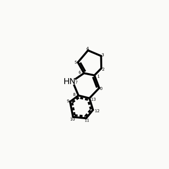 C1=C2CCCC=C2Nc2ccccc21